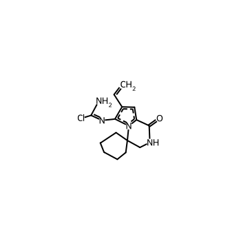 C=Cc1cc2n(c1/N=C(\N)Cl)C1(CCCCC1)CNC2=O